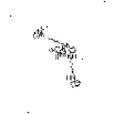 O=C1CCC(n2c(CCCCCCCCNC34CC5CC(CC(C5)C3)C4)nc3cccc(NCCCCCCCNC45CC6CC(CC(C6)C4)C5)c3c2=O)C(=O)N1